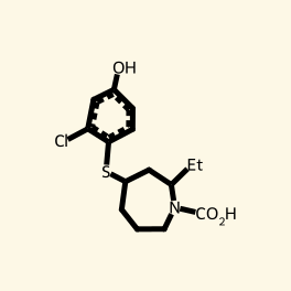 CCC1CC(Sc2ccc(O)cc2Cl)CCCN1C(=O)O